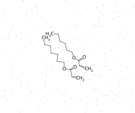 C=CC(=O)OCCCCCC.C=CC(=O)OCCCCCCC